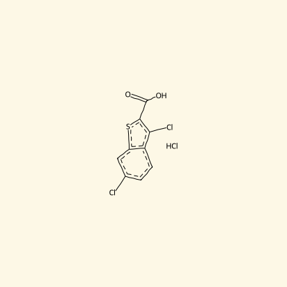 Cl.O=C(O)c1sc2cc(Cl)ccc2c1Cl